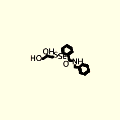 O=C(NCc1ccccc1)c1ccccc1[Se]SCC(O)CO